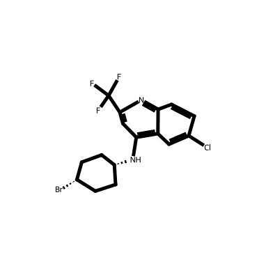 FC(F)(F)c1cc(N[C@H]2CC[C@@H](Br)CC2)c2cc(Cl)ccc2n1